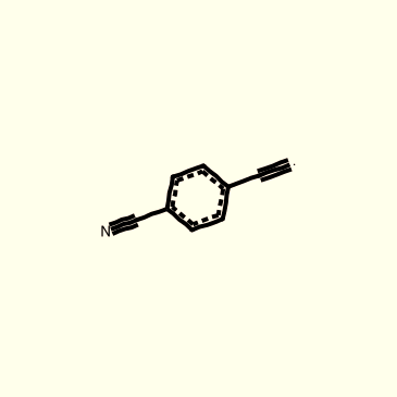 [C]#Cc1ccc(C#N)cc1